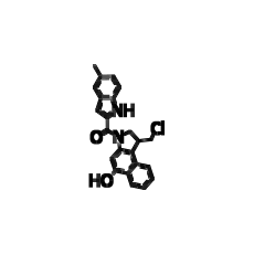 Cc1ccc2[nH]c(C(=O)N3CC(CCl)c4c3cc(O)c3ccccc43)cc2c1